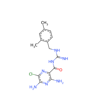 Cc1ccc(CNC(=N)NC(=O)c2nc(Cl)c(N)nc2N)c(C)c1